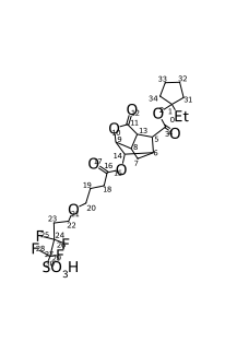 CCC1(OC(=O)C2C3CC4C(OC(=O)C42)C3OC(=O)CCCOCCC(F)(F)C(F)(F)S(=O)(=O)O)CCCC1